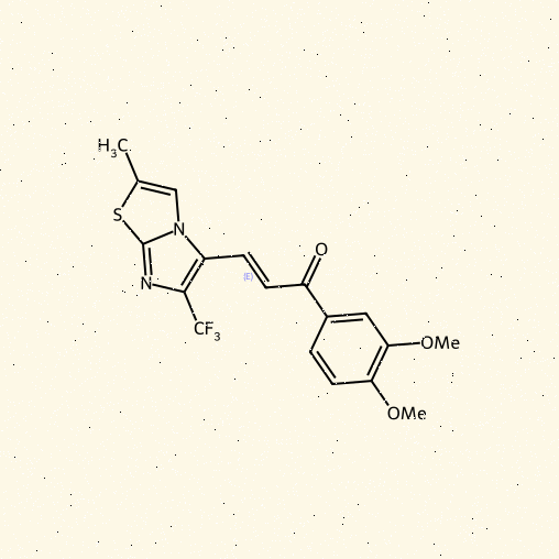 COc1ccc(C(=O)/C=C/c2c(C(F)(F)F)nc3sc(C)cn23)cc1OC